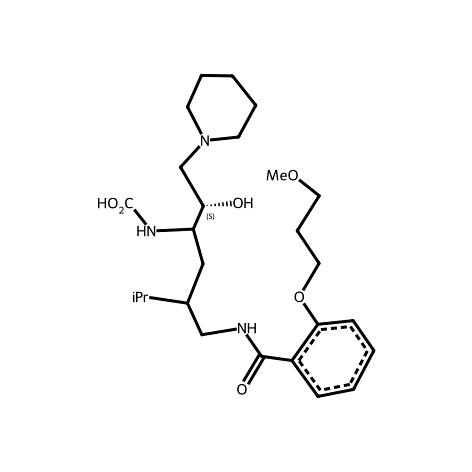 COCCCOc1ccccc1C(=O)NCC(CC(NC(=O)O)[C@@H](O)CN1CCCCC1)C(C)C